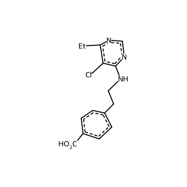 CCc1ncnc(NCCc2ccc(C(=O)O)cc2)c1Cl